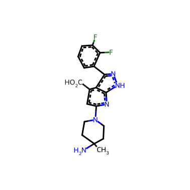 CC1(N)CCN(c2cc(C(=O)O)c3c(-c4cccc(F)c4F)n[nH]c3n2)CC1